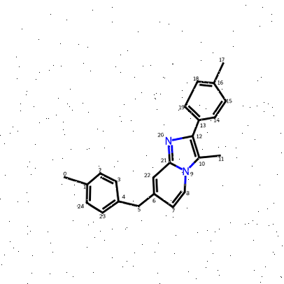 Cc1ccc(Cc2ccn3c(C)c(-c4ccc(C)cc4)nc3c2)cc1